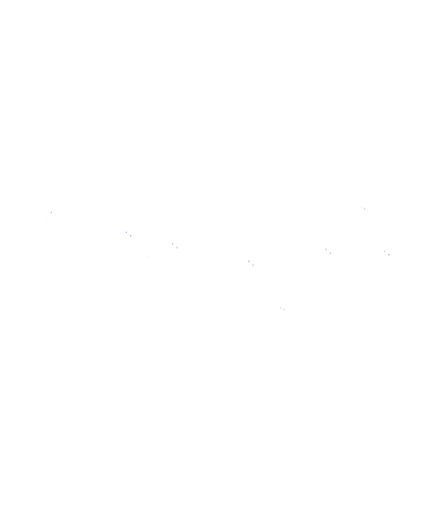 N#CCN(CC#N)CCN(CC#N)CCN1CCN(CCN)C1=O